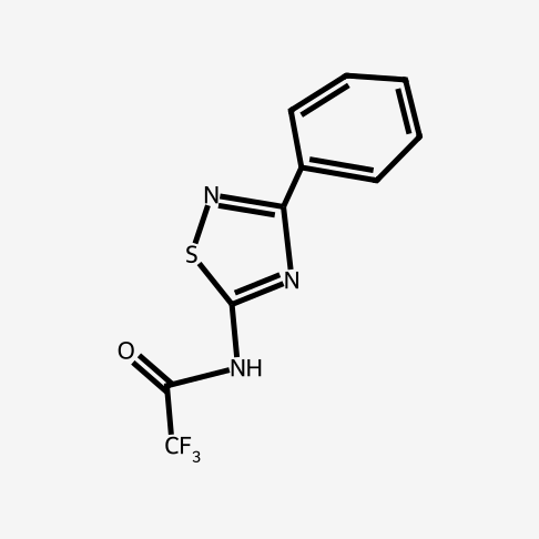 O=C(Nc1nc(-c2ccccc2)ns1)C(F)(F)F